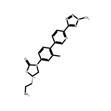 Cn1nnc(-c2ccc(-c3ccc(N4C[C@H](CCN)OC4=O)cc3F)cn2)n1